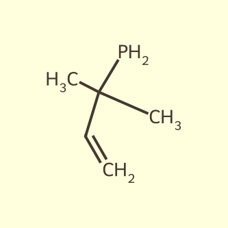 C=CC(C)(C)P